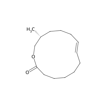 C[C@@H]1CCC/C=C/CCCCCC(=O)OC1